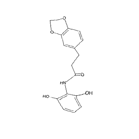 O=C(CCc1ccc2c(c1)OCO2)Nc1c(O)cccc1O